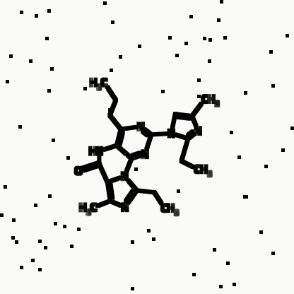 CCCc1nc(-n2cc(C)nc2CC)nc2c1[nH]c(=O)c1c(C)nc(CC)n12